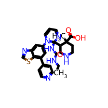 CCNC(=O)NC1(C2CNCCC2(C)C(=O)O)N=CC=CN1c1cc(-c2ccncc2)c2scnc2c1